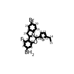 Bc1cc(F)c2c(c1)OC(c1ccc(CC)s1)N1c3ccc(Br)cc3CC21